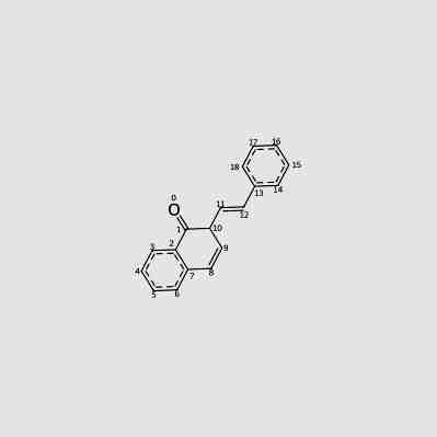 O=C1c2ccccc2C=CC1C=Cc1ccccc1